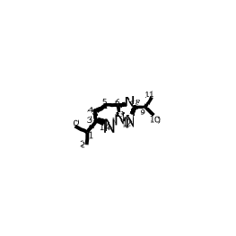 CC(C)c1ccc2nc(C(C)C)nn2n1